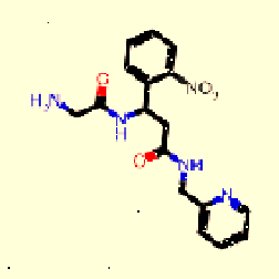 NCC(=O)NC(CC(=O)NCc1ccccn1)c1ccccc1[N+](=O)[O-]